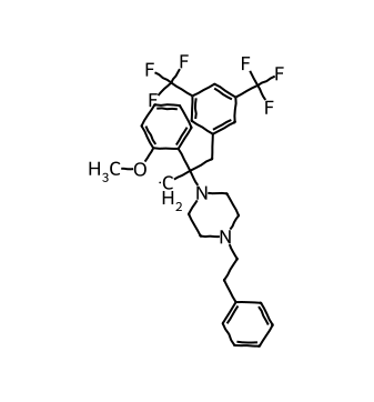 [CH2]C(Cc1cc(C(F)(F)F)cc(C(F)(F)F)c1)(c1ccccc1OC)N1CCN(CCc2ccccc2)CC1